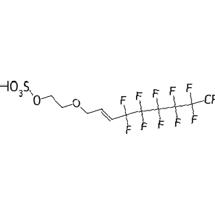 O=S(=O)(O)OCCOC/C=C/C(F)(F)C(F)(F)C(F)(F)C(F)(F)C(F)(F)C(F)(F)F